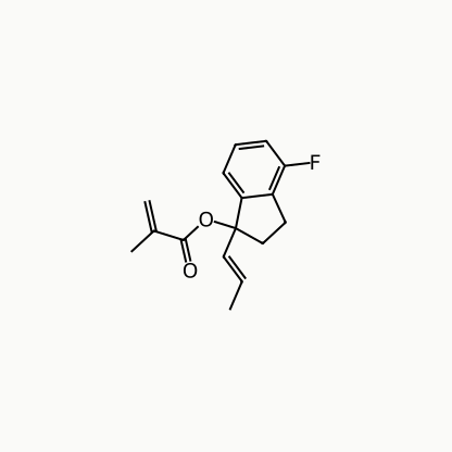 C=C(C)C(=O)OC1(/C=C/C)CCc2c(F)cccc21